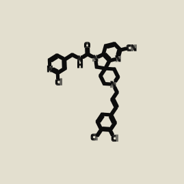 N#Cc1ccc2c(n1)C1(CCN(C/C=C/c3ccc(Cl)c(Cl)c3)CC1)CN2C(=O)NCc1ccnc(Cl)c1